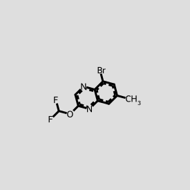 Cc1cc(Br)c2ncc(OC(F)F)nc2c1